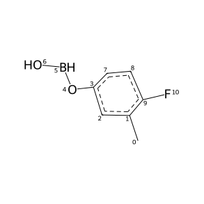 Cc1cc(OBO)ccc1F